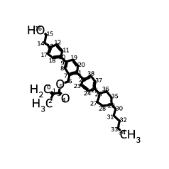 C=C(C)C(=O)OCc1cc(-c2ccc(CCO)cc2)ccc1-c1ccc(C2CCC(CCCCC)CC2)cc1